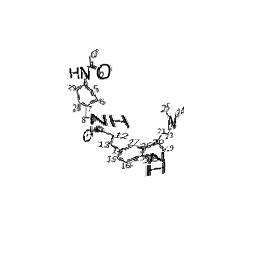 CC(=O)Nc1ccc(CNC(=O)CCc2ccc3[nH]cc(CCN(C)C)c3c2)cc1